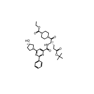 CCOC(=O)N1CCN(C(=O)[C@H](CCC(=O)OC(C)(C)C)NC(=O)c2cc(N3CC[C@H](O)C3)nc(-c3ccccc3)n2)CC1